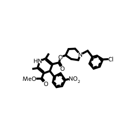 COC(=O)C1=C(C)NC(C)=C(C(=O)OC2CCN(Cc3cccc(Cl)c3)CC2)C1c1cccc([N+](=O)[O-])c1